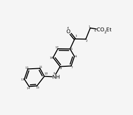 CCOC(=O)CCC(=O)c1ccc(Nc2ccccc2)cc1